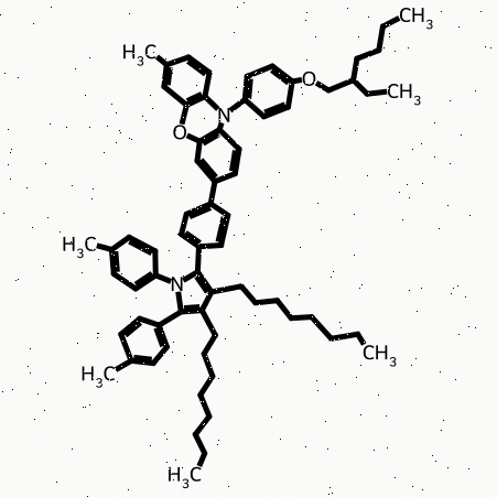 CCCCCCCCc1c(CCCCCCCC)c(-c2ccc(-c3ccc4c(c3)Oc3cc(C)ccc3N4c3ccc(OCC(CC)CCCC)cc3)cc2)n(-c2ccc(C)cc2)c1-c1ccc(C)cc1